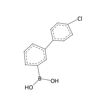 OB(O)c1cccc(-c2ccc(Cl)cc2)c1